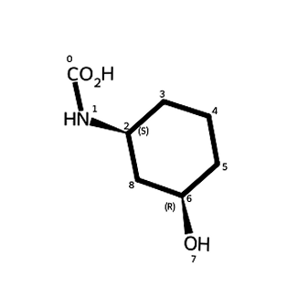 O=C(O)N[C@H]1CCC[C@@H](O)C1